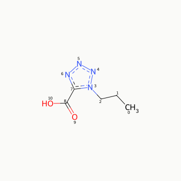 CCCn1nnnc1C(=O)O